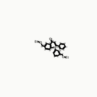 CCOCc1c[c]cc(-n2c(-c3ccccc3)cc(=O)c3cc(COCC)ccc32)c1